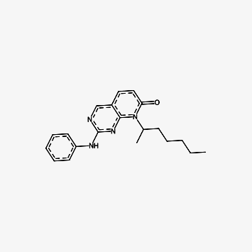 CCCCCC(C)n1c(=O)ccc2cnc(Nc3ccccc3)nc21